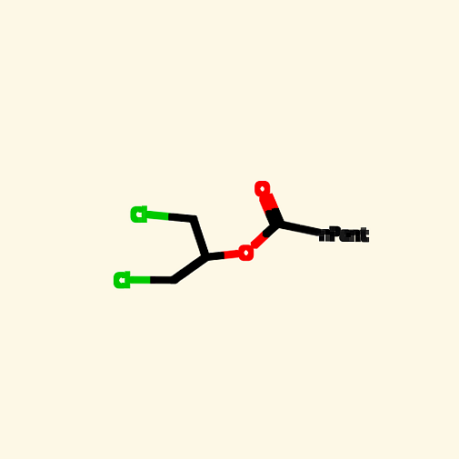 CCCCCC(=O)OC(CCl)CCl